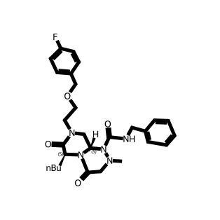 CCCC[C@H]1C(=O)N(CCOCc2ccc(F)cc2)C[C@H]2N1C(=O)CN(C)N2C(=O)NCc1ccccc1